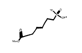 COC(=O)CCCCCP(=O)(O)S